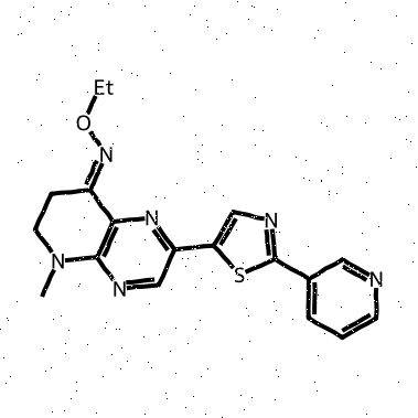 CCO/N=C1\CCN(C)c2ncc(-c3cnc(-c4cccnc4)s3)nc21